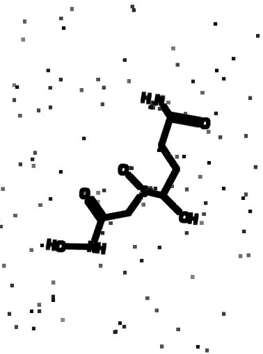 NC(=O)CCC(O)[S+]([O-])CC(=O)NO